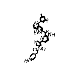 Cc1cc(F)cc(-c2nccc3[nH]c(-c4n[nH]c5ccc(-c6cncc(NC(=O)CC7CCNCC7)c6)nc45)cc23)c1